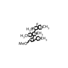 COCCN1CCN(C2CCN(C)CC2)C(C2CN(C)C(C3CC4(CCN(C)CC4F)CCN3C)CC23CCN(C)CC3)C1